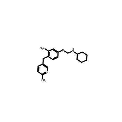 Cc1ccc(Cc2ccc(OCNC3CCCCC3)cc2C)cn1